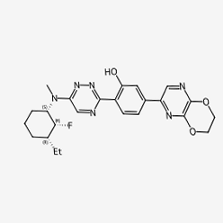 CC[C@@H]1CCC[C@H](N(C)c2cnc(-c3ccc(-c4cnc5c(n4)OCCO5)cc3O)nn2)[C@@H]1F